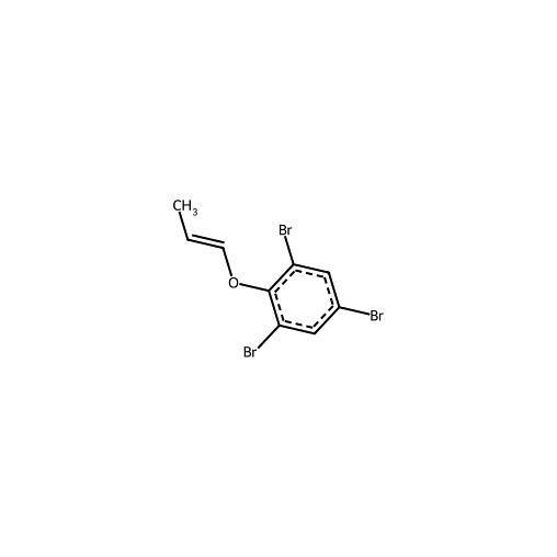 CC=COc1c(Br)cc(Br)cc1Br